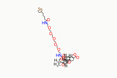 CC(C)[C@]12O[C@H]1[C@@H]1O[C@]13[C@]1(O[C@H]1C[C@H]1C4=C(CC[C@@]13C)C(=O)OC4)[C@@H]2OC(=O)NCCOCCOCCOCCOCCOCCNC(=O)CCCCC1CCSS1